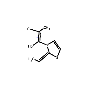 CC=C1SC=CN1/C(S)=C(\C)Cl